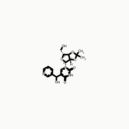 CC1(C)OC2[C@@H](CO)O[C@@H](n3cc(C(O)c4cccnc4)c(=O)[nH]c3=O)[C@H]2O1